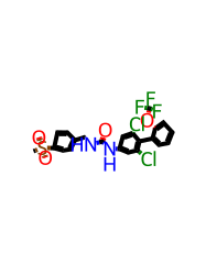 CS(=O)(=O)c1ccc(CNC(=O)Nc2cc(Cl)c(-c3ccccc3OC(F)(F)F)c(Cl)c2)cc1